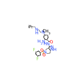 CC(C)CNCCN(C)c1ccc(C(=O)Nc2n[nH]c3c2CN(S(=O)(=O)c2cc(F)cc(F)c2)CC3)c(N)c1